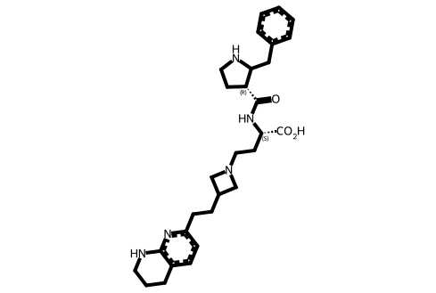 O=C(O)[C@H](CCN1CC(CCc2ccc3c(n2)NCCC3)C1)NC(=O)[C@@H]1CCNC1Cc1ccccc1